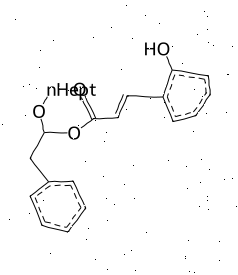 CCCCCCCOC(Cc1ccccc1)OC(=O)/C=C/c1ccccc1O